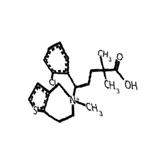 CC(C)(CCC(c1ccccc1Cl)[N+]1(C)CCc2sccc2C1)C(=O)O